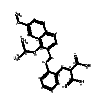 COc1ccc2ncc(COc3ccccc3CC(C(=O)O)C(=O)O)c(OC(C)C)c2c1